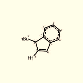 CCCCC1[C]([Hf])=Cc2ccccc21